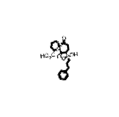 O=C(O)[C@@H]1CCCN2C(=O)CC[C@H](P(=O)(O)CCCc3ccccc3)C(=O)N12